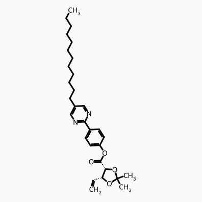 C=C[C@H]1OC(C)(C)O[C@H]1C(=O)Oc1ccc(-c2ncc(CCCCCCCCCCCC)cn2)cc1